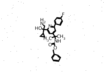 CC(C)(NC(=O)OCc1ccccc1)c1cc(-c2ccc(F)cc2)nc(C(O)(CN)C2CC2)c1